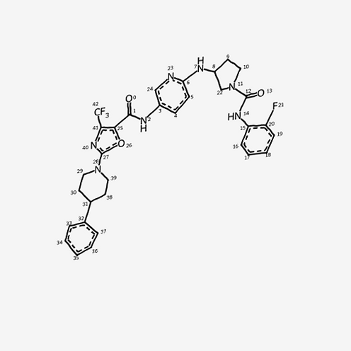 O=C(Nc1ccc(NC2CCN(C(=O)Nc3ccccc3F)C2)nc1)c1oc(N2CCC(c3ccccc3)CC2)nc1C(F)(F)F